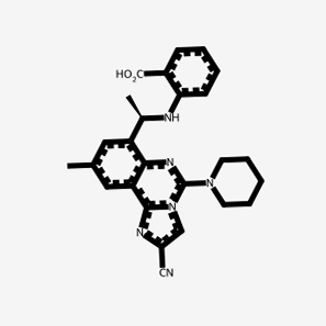 Cc1cc([C@@H](C)Nc2ccccc2C(=O)O)c2nc(N3CCCCC3)n3cc(C#N)nc3c2c1